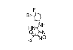 N=C(Nc1ccc(F)c(Br)c1)c1nonc1[S+]([O-])C1CC1